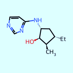 CC[C@H]1C[C@@H](Nc2ccncn2)[C@H](O)[C@@H]1C